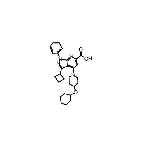 O=C(O)c1cc(N2CCC(OC3CCCCC3)CC2)c2c(C3CCC3)nn(-c3ccccc3)c2n1